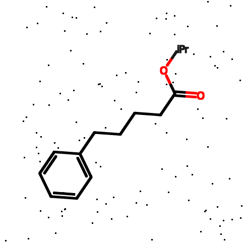 CC(C)OC(=O)CCCCc1ccccc1